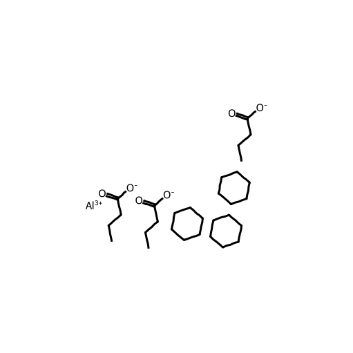 C1CCCCC1.C1CCCCC1.C1CCCCC1.CCCC(=O)[O-].CCCC(=O)[O-].CCCC(=O)[O-].[Al+3]